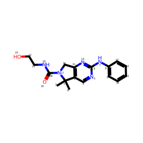 CC1(C)c2cnc(Nc3ccccc3)nc2CN1C(=O)NCCO